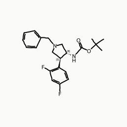 CC(C)(C)OC(=O)N[C@H]1CN(Cc2ccccc2)C[C@@H]1c1ccc(F)cc1F